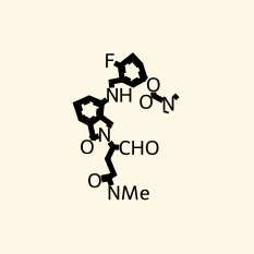 CNC(=O)CCC(C=O)N1Cc2c(NCc3cc(OC(=O)N(C)C)ccc3F)cccc2C1=O